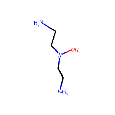 NCCN(O)CCN